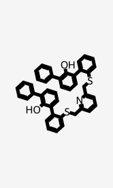 Oc1c(-c2ccccc2)cccc1-c1ccccc1SCc1cccc(CSc2ccccc2-c2cccc(-c3ccccc3)c2O)n1